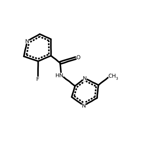 Cc1cncc(NC(=O)c2ccncc2F)n1